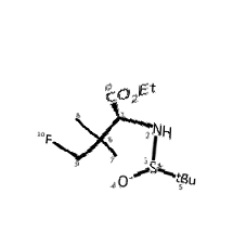 CCOC(=O)[C@@H](N[S+]([O-])C(C)(C)C)C(C)(C)CF